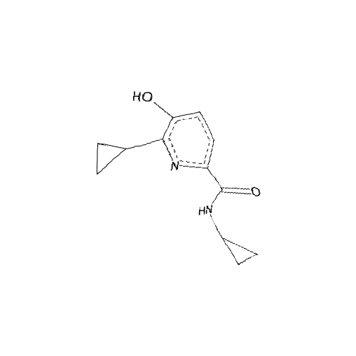 O=C(NC1CC1)c1ccc(O)c(C2CC2)n1